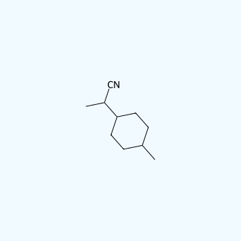 CC1CCC(C(C)C#N)CC1